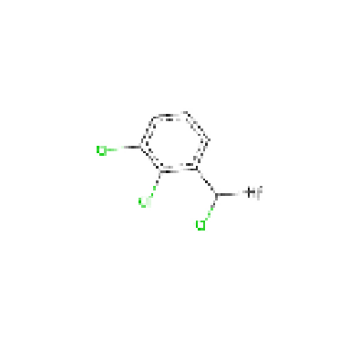 Clc1cccc([CH](Cl)[Hf])c1Cl